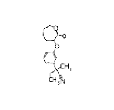 CCC(C)(C#N)c1cccc(OC2CCCCOC2=O)c1